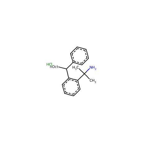 CCCCCCCCC(c1ccccc1)c1ccccc1C(C)(C)N.Cl